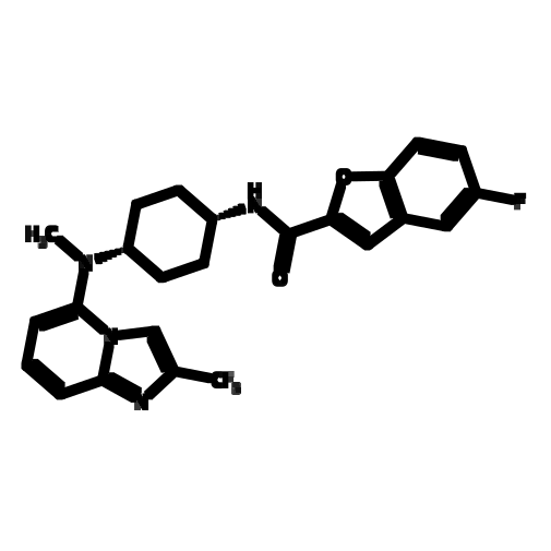 CN(c1cccc2nc(C(F)(F)F)cn12)[C@H]1CC[C@@H](NC(=O)c2cc3cc(F)ccc3o2)CC1